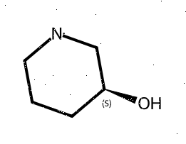 O[C@H]1CCC[N]C1